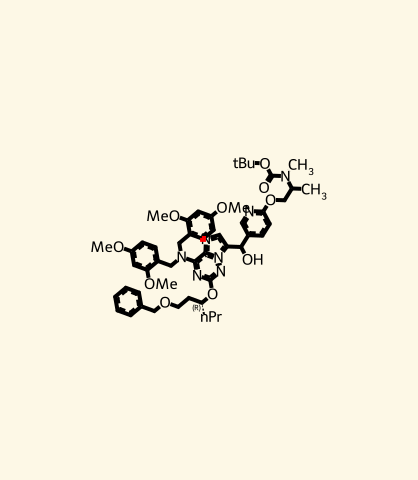 CCC[C@H](CCOCc1ccccc1)Oc1nc(N(Cc2ccc(OC)cc2OC)Cc2ccc(OC)cc2OC)c2ncc(C(O)c3ccc(OCC(C)N(C)C(=O)OC(C)(C)C)nc3)n2n1